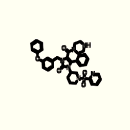 O=C(c1c(-c2ccccc2)n(C2CCCN(S(=O)(=O)c3ccccn3)C2)c(=O)n1Cc1cccc(Oc2ccccc2)c1)N1CCNCC1